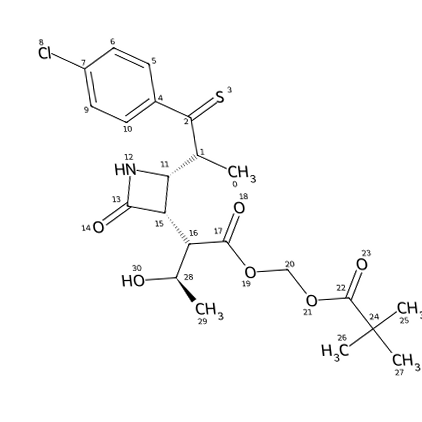 CC(C(=S)c1ccc(Cl)cc1)[C@H]1NC(=O)[C@H]1C(C(=O)OCOC(=O)C(C)(C)C)[C@@H](C)O